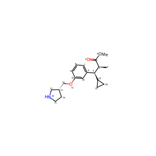 COC(=O)[C@@H](C)[C@H](c1cccc(OC[C@@H]2CCNC2)c1)C1CC1